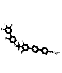 CCCCCCCc1ccc(-c2ccc(-c3cc(F)c(C(F)(F)Oc4ccc(-c5cc(F)c(F)c(F)c5)c(F)c4)c(F)c3)cc2)cc1